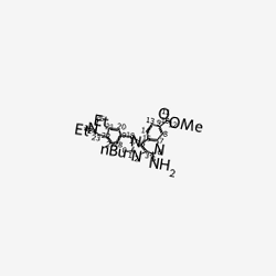 CCCCc1nc2c(N)nc3cc(C(=O)OC)ccc3c2n1Cc1ccc(CN(CC)CC)cc1